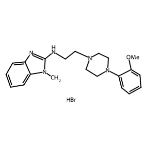 Br.COc1ccccc1N1CCN(CCNc2nc3ccccc3n2C)CC1